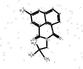 CC(C)(N)CN1C(=O)c2cccc3cc(N)cc(c23)C1=O